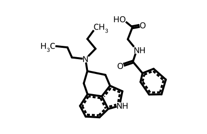 CCCN(CCC)C1Cc2cccc3[nH]cc(c23)C1.O=C(O)CNC(=O)c1ccccc1